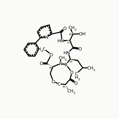 COC(=O)[C@H]1COC[C@@H](C)C(=O)OB([C@H](CC(C)C)NC(=O)[C@@H](NC(=O)c2cccc(-c3ccccc3)n2)[C@@H](C)O)N1C